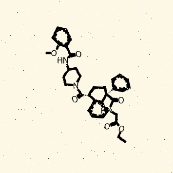 CCOC(=O)CNC(=O)[C@]1(c2ccccc2)CC[C@@H](C(=O)N2CCC(NC(=O)c3ccccc3OC)CC2)c2ccccc21